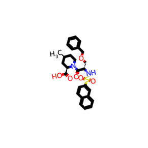 C[C@@H]1CCN(C(=O)[C@H](COCc2ccccc2)NS(=O)(=O)c2ccc3ccccc3c2)[C@@H](C(=O)O)C1